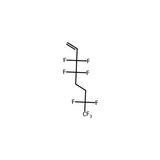 C=CC(F)(F)C(F)(F)CCC(F)(F)C(F)(F)F